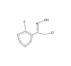 ON=C(CCl)c1ccccc1F